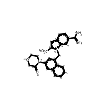 N=C(N)c1ccc2cc(C(=O)O)n(Cc3cc(N4CCOCC4=O)cc4ccccc34)c2c1